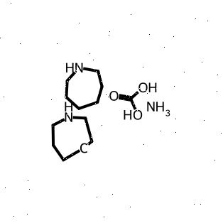 C1CCCNCC1.C1CCCNCC1.N.O=C(O)O